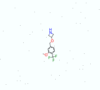 COc1cc(COC2CNC2)ccc1C(F)(F)F